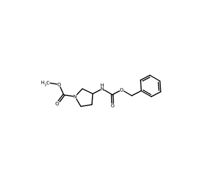 COC(=O)N1CCC(NC(=O)OCc2ccccc2)C1